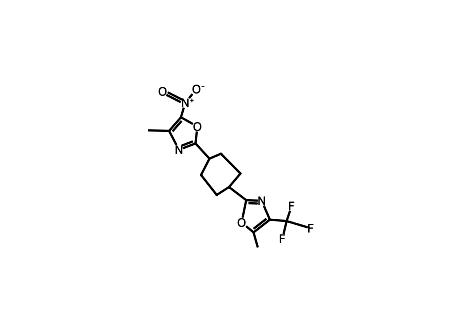 Cc1nc(C2CCC(c3nc(C(F)(F)F)c(C)o3)CC2)oc1[N+](=O)[O-]